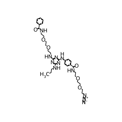 CCCNc1nc(NCCOCCOCCNC(=O)c2ccccc2)nc(Nc2ccc(C(=O)NCCOCCOCCN=[N+]=[N-])cc2)n1